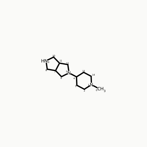 CN1CCC(N2CC3CNCC3C2)CC1